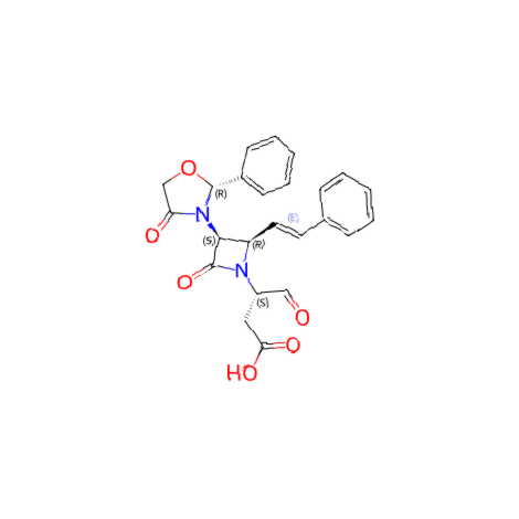 O=C[C@H](CC(=O)O)N1C(=O)[C@@H](N2C(=O)CO[C@@H]2c2ccccc2)[C@H]1/C=C/c1ccccc1